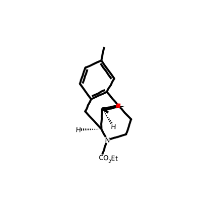 CCOC(=O)N1CCC23CCCC[C@@H]2[C@@H]1Cc1ccc(C)cc13